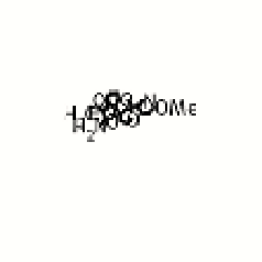 COc1ccc(COc2ccc3oc(C)c(C(N)=O)c3c2C2(CO)CCOCC2)cn1